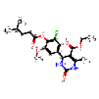 CCOC(=O)C1=C(C)NC(=O)NC1c1cc(Cl)c(OC(=O)CCC(C)C)c(OC)c1